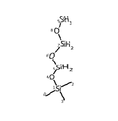 C[Si](C)(C)O[SiH2]O[SiH2]O[SiH3]